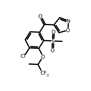 CC(Oc1c(Cl)ccc(C(=O)c2cnoc2)c1S(C)(=O)=O)C(F)(F)F